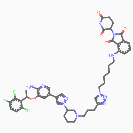 CC(Oc1cc(-c2cnn(C3CCCN(CCCc4cn(CCCCCCNc5cccc6c5C(=O)N(C5CCC(=O)NC5=O)C6=O)nn4)C3)c2)cnc1N)c1c(Cl)ccc(F)c1Cl